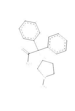 N#CN1CC[C@@H](C(C(N)=O)(c2ccccc2)c2ccccc2)C1